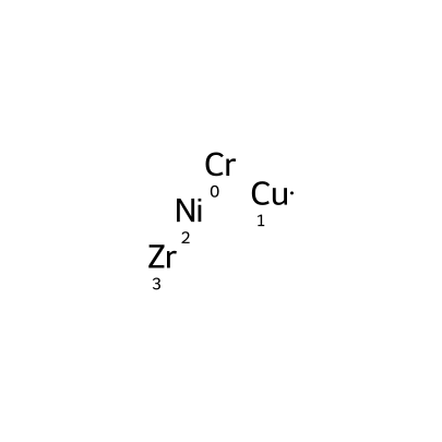 [Cr].[Cu].[Ni].[Zr]